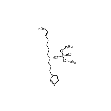 CCCCCCCCC=CCCCCCCCCN1C=NCC1.CCCCOP(=O)(O)OCCCC